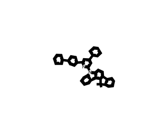 CC1(C)c2ccccc2-c2ccc3c(c21)c1ccccc1n3-c1cc(-c2ccccc2)cc(-c2ccc(-c3ccccc3)cc2)n1